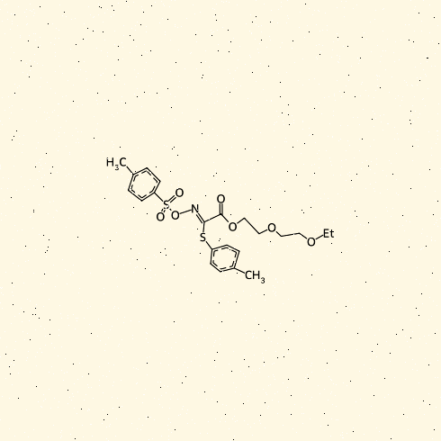 CCOCCOCCOC(=O)/C(=N/OS(=O)(=O)c1ccc(C)cc1)Sc1ccc(C)cc1